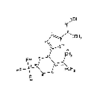 CC(CO)c1ccc(C2CC(C(F)(F)F)CCC2C(C)C)s1